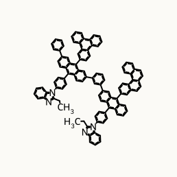 CCc1nc2ccccc2n1-c1ccc(-c2c3ccccc3c(-c3ccc4c(ccc5ccc6ccccc6c54)c3)c3cc(-c4cccc(-c5ccc6c(-c7ccc(-n8c(CC)nc9ccccc98)cc7)c7ccc(-c8ccccc8)cc7c(-c7ccc8c9ccccc9c9ccccc9c8c7)c6c5)c4)ccc23)cc1